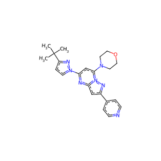 CC(C)(C)c1ccn(-c2cc(N3CCOCC3)n3nc(-c4ccncc4)cc3n2)n1